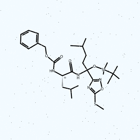 CSc1nc(C(CCC(C)C)(NC(=O)[C@H](CC(C)C)NC(=O)OCc2ccccc2)O[Si](C)(C)C(C)(C)C)no1